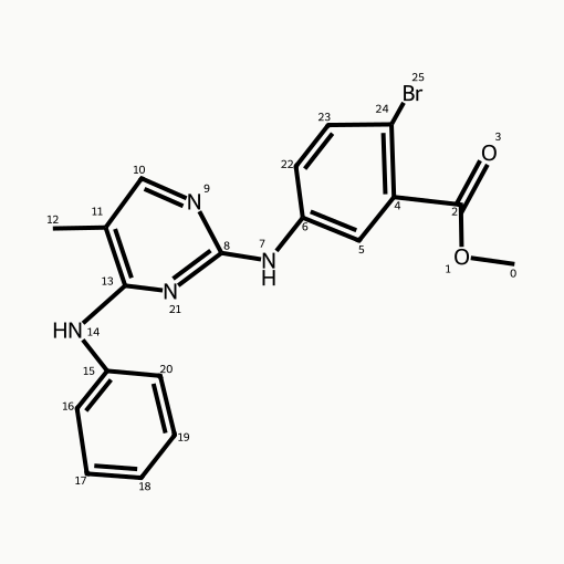 COC(=O)c1cc(Nc2ncc(C)c(Nc3ccccc3)n2)ccc1Br